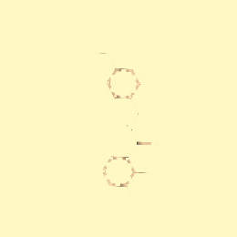 Cc1cccc(C(=O)NCc2ccc(B(O)O)cc2)c1C